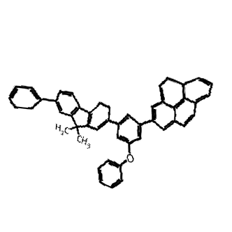 CC1(C)C2=C(CCC(c3cc(Oc4ccccc4)cc(-c4cc5c6c7c(ccc6c4)=CC=CC7CC=5)c3)=C2)c2ccc(C3=CC=CCC3)cc21